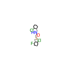 O=C(CSCc1c(F)cccc1Cl)NCc1ccccc1Cl